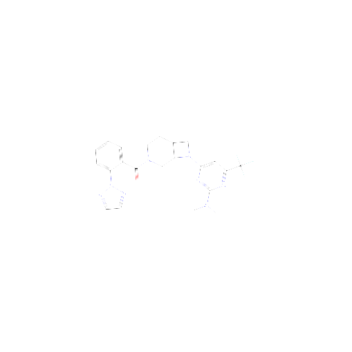 CN(C)c1nc(N2CC3CCN(C(=O)c4ccccc4-n4nccn4)C[C@@H]32)cc(C(F)(F)F)n1